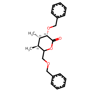 C[C@@H]1[C@H](OCc2ccccc2)C(=O)OC(COCc2ccccc2)[C@H]1C